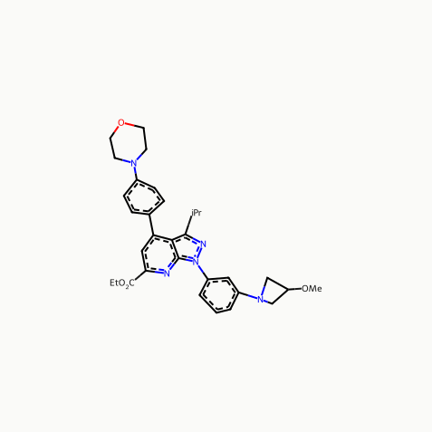 CCOC(=O)c1cc(-c2ccc(N3CCOCC3)cc2)c2c(C(C)C)nn(-c3cccc(N4CC(OC)C4)c3)c2n1